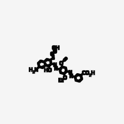 C#COc1cc(N=Nc2cccc(C(=O)O)c2)c(OCC)cc1N=Nc1c(SOOO)cc2ccc(N)cc2c1O